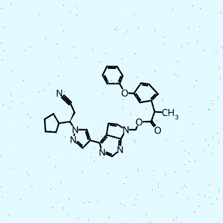 CC(C(=O)OCn1ccc2c(-c3cnn([C@H](CC#N)C4CCCC4)c3)ncnc21)c1cccc(Oc2ccccc2)c1